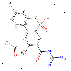 Cc1cc2c(cc1C(=O)NC(=N)N)S(=O)(=O)Cc1cc(Cl)ccc1-2.O=CO